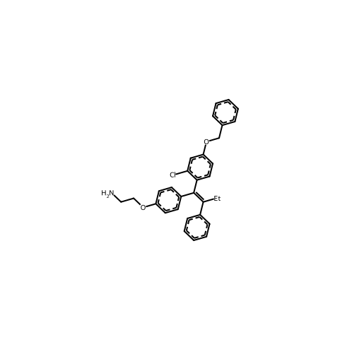 CCC(=C(c1ccc(OCCN)cc1)c1ccc(OCc2ccccc2)cc1Cl)c1ccccc1